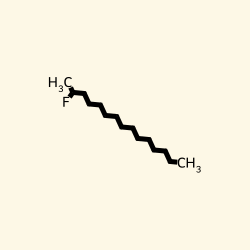 CCCCCCCCCCCCCC(C)F